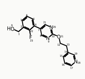 OCc1cccc(-c2cnc(OCCc3cccnc3)nc2)c1F